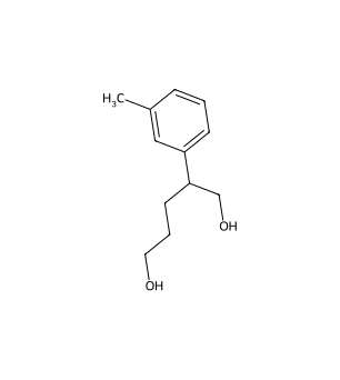 Cc1cccc(C(CO)CCCO)c1